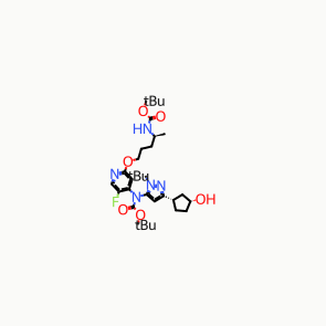 C[C@@H](CCCOc1cc(N(C(=O)OC(C)(C)C)c2cc([C@H]3CC[C@@H](O)C3)nn2C(C)(C)C)c(F)cn1)NC(=O)OC(C)(C)C